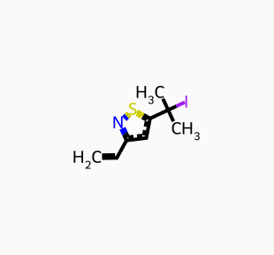 C=Cc1cc(C(C)(C)I)sn1